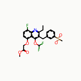 CCc1nc2c(F)ccc(OCC(=O)OC)c2c(OC(F)F)c1Cc1cccc(S(C)(=O)=O)c1